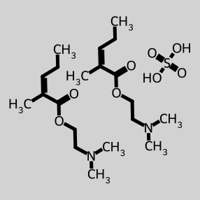 CCC=C(C)C(=O)OCCN(C)C.CCC=C(C)C(=O)OCCN(C)C.O=S(=O)(O)O